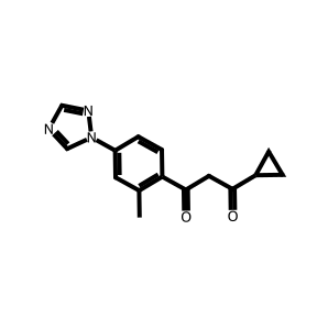 Cc1cc(-n2cncn2)ccc1C(=O)CC(=O)C1CC1